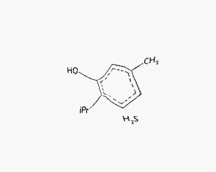 Cc1ccc(C(C)C)c(O)c1.S